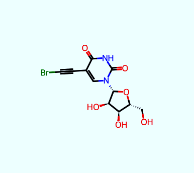 O=c1[nH]c(=O)n([C@@H]2O[C@H](CO)[C@@H](O)[C@H]2O)cc1C#CBr